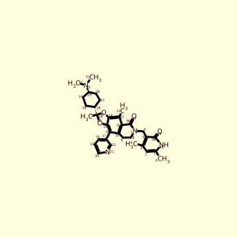 Cc1cc(C)c(CN2CCc3c(c(C)c4c(c3-c3cccnc3)OC(C)([C@H]3CC[C@H](N(C)C)CC3)O4)C2=O)c(=O)[nH]1